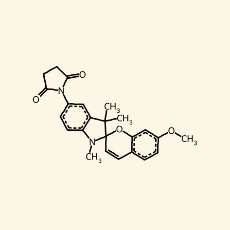 COc1ccc2c(c1)OC1(C=C2)N(C)c2ccc(N3C(=O)CCC3=O)cc2C1(C)C